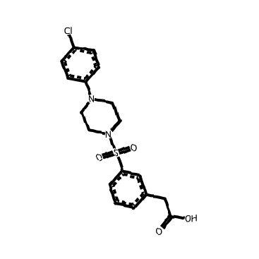 O=C(O)Cc1cccc(S(=O)(=O)N2CCN(c3ccc(Cl)cc3)CC2)c1